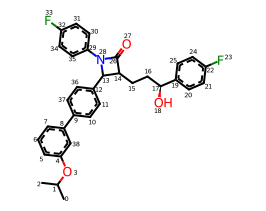 CC(C)Oc1cccc(-c2ccc(C3C(CC[C@H](O)c4ccc(F)cc4)C(=O)N3c3ccc(F)cc3)cc2)c1